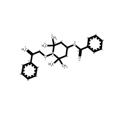 C=C(CON1C(C)(C)CC(OC(=O)c2ccccc2)CC1(C)C)c1ccccc1